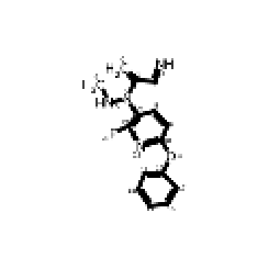 C=C(C=N)N(NC)c1ccc(Oc2ccccc2)nc1F